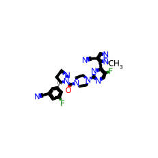 Cn1ncc(C#N)c1-c1nc(N2CCN(C(=O)N3N=CC[C@H]3c3cc(F)cc(C#N)c3)CC2)ncc1F